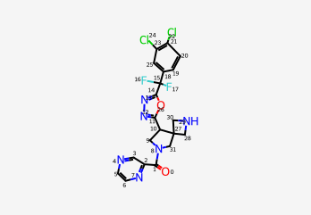 O=C(c1cnccn1)N1CC(c2nnc(C(F)(F)c3ccc(Cl)c(Cl)c3)o2)C2(CNC2)C1